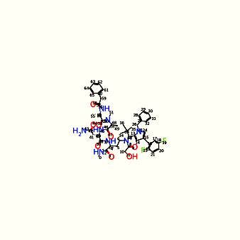 CNC(=O)[C@H](CCN(C(=O)CO)[C@@H](c1cc(-c2cc(F)ccc2F)cn1Cc1ccccc1)C(C)(C)C)NC(=O)[C@H](CC(N)=O)NC(=O)[C@H](C)N(C)C(=O)[C@H](C)NC(=O)Cc1ccccc1